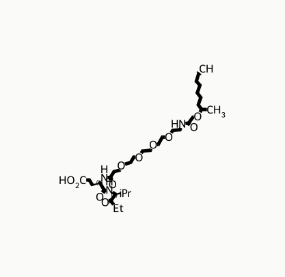 C#CCCCCCC(C)OCC(=O)NCCOCCOCCOCCOCCC(=O)N[C@H](CCC(=O)O)C(=O)N[C@H](C(=O)CC)C(C)C